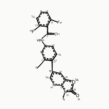 Cc1cc(NC(=O)c2c(F)cccc2F)ccc1-c1cnc2c(c1)oc(=O)n2C